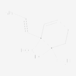 CCCC=CC1(C(=O)O)C=CCCC1(C)C(=O)O